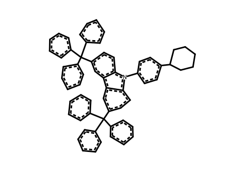 c1ccc(C(c2ccccc2)(c2ccccc2)c2ccc3c(c2)c2cc(C(c4ccccc4)(c4ccccc4)c4ccccc4)ccc2n3-c2ccc(C3CCCCC3)cc2)cc1